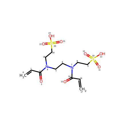 C=CC(=O)N(CCN(CCS(=O)(=O)O)C(=O)C=C)CCS(=O)(=O)O